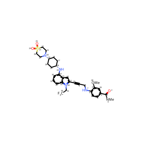 CNC(=O)c1ccc(NCC#Cc2cc3c(N[C@H]4CC[C@@H](N5CCS(=O)(=O)CC5)CC4)cccc3n2CC(F)(F)F)c(OC)c1